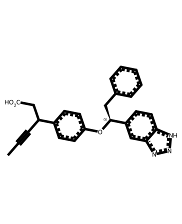 CC#CC(CC(=O)O)c1ccc(O[C@@H](Cc2ccccc2)c2ccc3[nH]nnc3c2)cc1